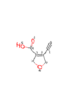 C#CC1=C(C(=O)O)COC1